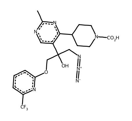 Cc1ncc(C(O)(CN=[N+]=[N-])COc2cccc(C(F)(F)F)n2)c(C2CCN(C(=O)O)CC2)n1